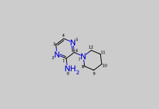 Nc1nccnc1N1CCCCC1